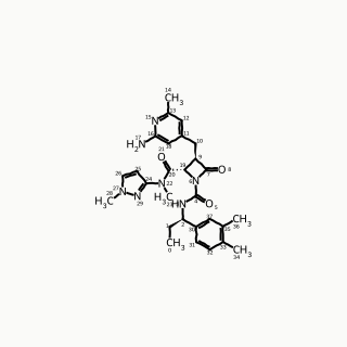 CC[C@@H](NC(=O)N1C(=O)[C@H](Cc2cc(C)nc(N)c2)[C@H]1C(=O)N(C)c1ccn(C)n1)c1ccc(C)c(C)c1